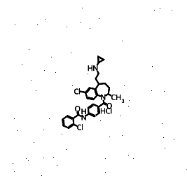 CC1CCC(CCNC2CC2)c2cc(Cl)ccc2N1C(=O)c1ccc(NC(=O)c2ccccc2Cl)cc1.Cl